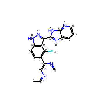 C=N/C(=C\N=C/C)c1ccc2[nH]nc(-c3nc4cccnc4[nH]3)c2c1F